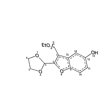 CCOC(=O)c1c(C2OCCO2)oc2ccc(O)cc12